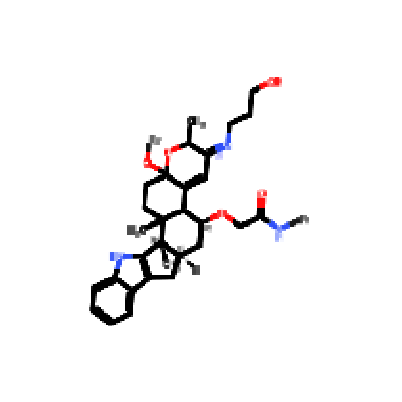 CC(C)NC(=O)CO[C@H]1C[C@H]2Cc3c([nH]c4ccccc34)[C@]2(C)C2(C)CCC3(OC(C)C)OC(C)/C(=N\CCCO)C=C3C12